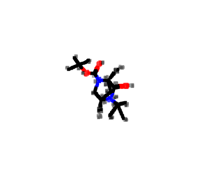 CC(C)(C)OC(=O)N1C[C@@H]2C[C@H]1C(=O)N2C(C)(C)C